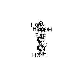 O=c1nc(NO)ccn1[C@H]1C[C@H](F)[C@@](F)(COP(=O)(O)OP(=O)(O)O)O1